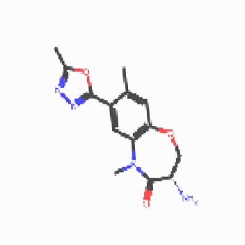 Cc1nnc(-c2cc3c(cc2C)OC[C@H](N)C(=O)N3C)o1